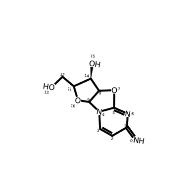 N=c1ccn2c(n1)OC1C2OC(CO)[C@H]1O